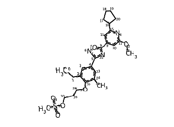 CCc1cc(-c2noc(-c3cc(OC)nc(C4CCCC4)c3)n2)cc(C)c1OCCCOS(C)(=O)=O